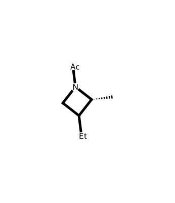 CCC1CN(C(C)=O)[C@@H]1C